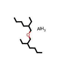 CCCCC(CC)COCC(CC)CCCC.[AlH3]